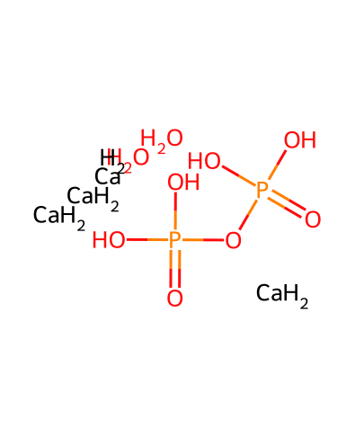 O.O.O=P(O)(O)OP(=O)(O)O.[CaH2].[CaH2].[CaH2].[CaH2]